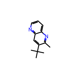 Cc1nc2cccnc2cc1C(C)(C)C